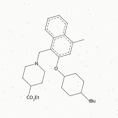 CCOC(=O)C1CCN(Cc2c(OC3CCC(C(C)(C)C)CC3)cc(C)c3ccccc23)CC1